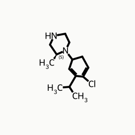 CC(C)C1=CC(N2CCNC[C@@H]2C)CC=C1Cl